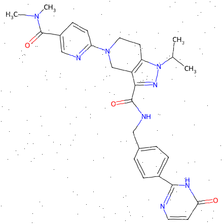 CC(C)n1nc(C(=O)NCc2ccc(-c3nccc(=O)[nH]3)cc2)c2c1CCN(c1ccc(C(=O)N(C)C)cn1)C2